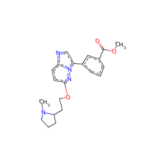 COC(=O)c1cccc(-c2cnc3ccc(OCCC4CCCN4C)nn23)c1